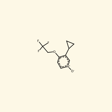 [O-][n+]1ccc(OCC(F)(F)F)c(C2CC2)c1